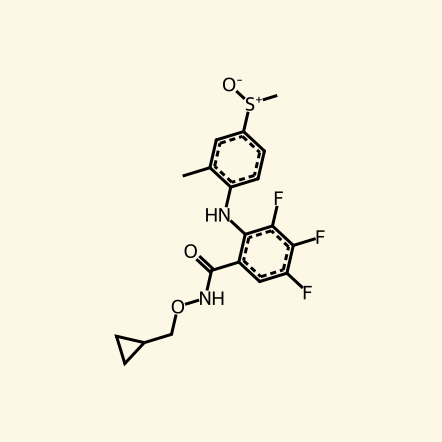 Cc1cc([S+](C)[O-])ccc1Nc1c(C(=O)NOCC2CC2)cc(F)c(F)c1F